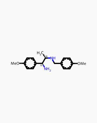 COc1ccc(CN[C@H](C)[C@@H](N)c2ccc(OC)cc2)cc1